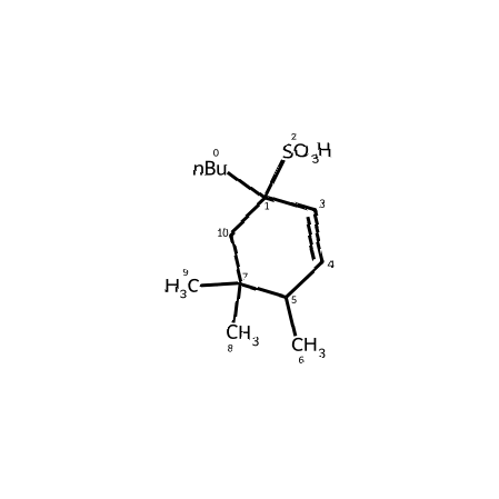 CCCCC1(S(=O)(=O)O)C=CC(C)C(C)(C)C1